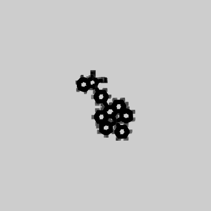 CCC1Nc2ccccc2N1c1ccc(-c2c3ccccc3c(S(c3ccccc3)(c3ccccc3)c3ccccc3)c3ccccc23)cc1